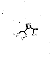 CCC(OC)C1=CN=C1C(=O)O